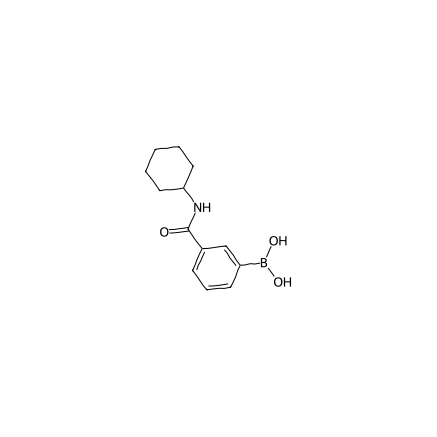 O=C(NC1CCCCC1)c1cccc(B(O)O)c1